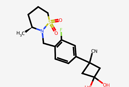 C[C@H]1CCCS(=O)(=O)N1Cc1ccc(C2(C#N)CC(O)(O)C2)cc1F